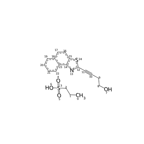 CCCS(=O)(=O)O.OCCC#Cc1nc2c(ccc3ccccc32)s1